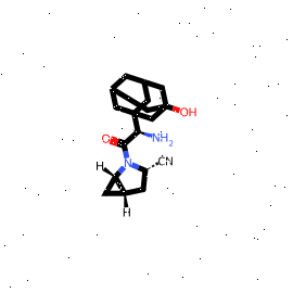 N#C[C@@H]1C[C@@H]2C[C@@H]2N1C(=O)[C@H](N)C12CC3CC(CC(O)(C3)C1)C2